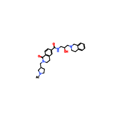 CC(=O)N1CCC(CN2CCc3cc(C(=O)NC[C@H](O)CN4CCc5ccccc5C4)ccc3C2=O)C1